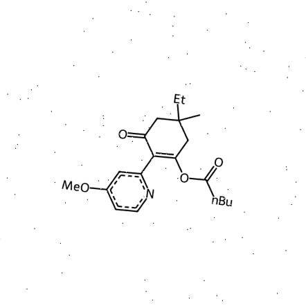 CCCCC(=O)OC1=C(c2cc(OC)ccn2)C(=O)CC(C)(CC)C1